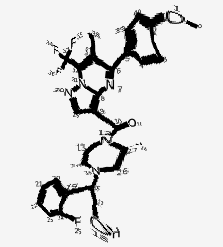 COc1ccc(-c2nc3c(C(=O)N4CCN(C(CO)c5ccccc5F)C[C@H]4C)cnn3c(C(F)(F)F)c2C)cc1